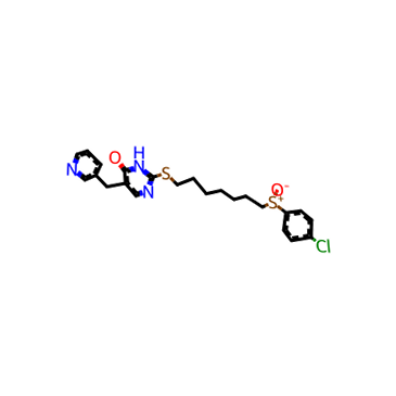 O=c1[nH]c(SCCCCCCC[S+]([O-])c2ccc(Cl)cc2)ncc1Cc1cccnc1